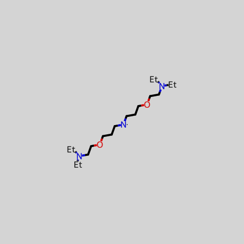 CCN(CC)CCOCCC[N]CCCOCCN(CC)CC